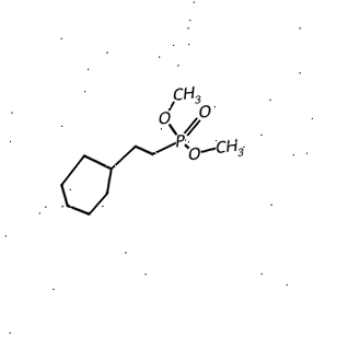 COP(=O)(CCC1CC[CH]CC1)OC